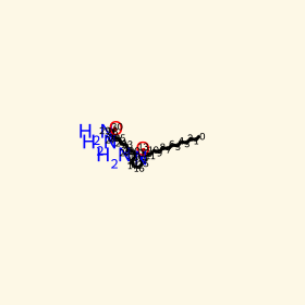 CCCCCCCCCCCCC(=O)N1CCCCC1CC(N)CCCC(N)C(N)=O